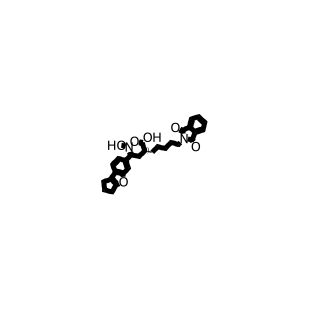 O=C(O)[C@H](CCCCCN1C(=O)c2ccccc2C1=O)CC(=NO)c1ccc2c3c(oc2c1)CCC3